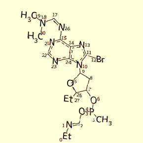 CCN=COP(C)OC1CC(n2c(Br)nc3c(/N=C\N(C)C)ncnc32)OC1CC